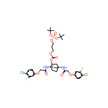 CC(C)(C)OP(=O)(OCCCOC(=O)OC1CC2(NC(=O)COc3ccc(Cl)c(F)c3)CCC1(NC(=O)COc1ccc(Cl)c(F)c1)CC2)OC(C)(C)C